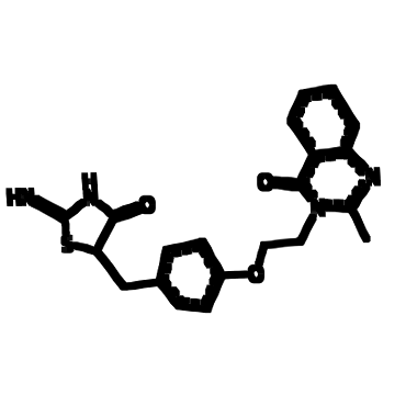 Cc1nc2ccccc2c(=O)n1CCOc1ccc(CC2SC(=N)NC2=O)cc1